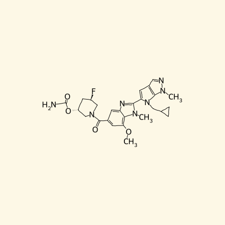 COc1cc(C(=O)N2C[C@H](F)C[C@@H](OC(N)=O)C2)cc2nc(-c3cc4cnn(C)c4n3CC3CC3)n(C)c12